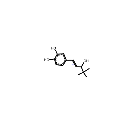 CC(C)(C)C(O)/C=C/c1ccc(O)c(O)c1